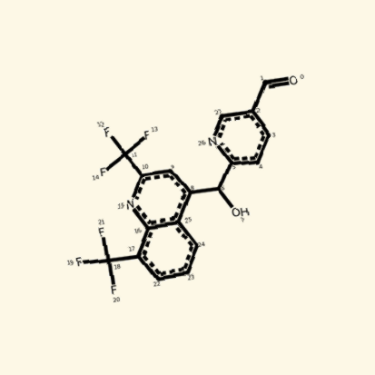 O=Cc1ccc(C(O)c2cc(C(F)(F)F)nc3c(C(F)(F)F)cccc23)nc1